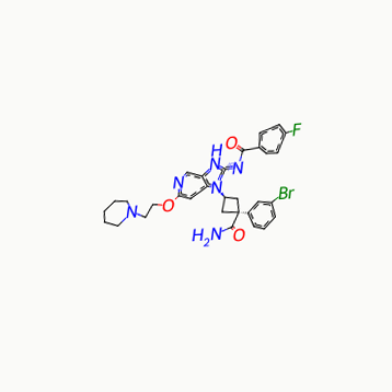 NC(=O)[C@]1(c2cccc(Br)c2)C[C@H](n2/c(=N/C(=O)c3ccc(F)cc3)[nH]c3cnc(OCCN4CCCCC4)cc32)C1